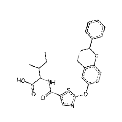 CCC(C)C(NC(=O)c1cnc(Oc2ccc3c(c2)CCC(c2ccccc2)O3)s1)C(=O)O